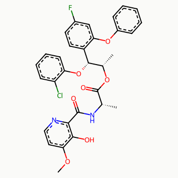 COc1ccnc(C(=O)N[C@@H](C)C(=O)O[C@@H](C)[C@H](Oc2ccccc2Cl)c2ccc(F)cc2Oc2ccccc2)c1O